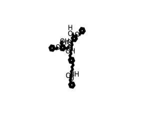 O=C(NCCCCc1ccc(CCCCN(C[C@@H](O)c2ccc(OCc3ccccc3)c(CO)c2)C[C@@H](O)c2ccc(OCc3ccccc3)c(CO)c2)cc1)OCc1ccccc1